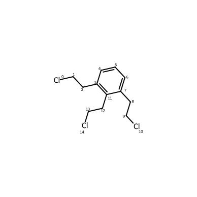 ClCCc1cccc(CCCl)c1CCCl